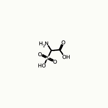 NC(C(=O)O)S(=O)(=O)O